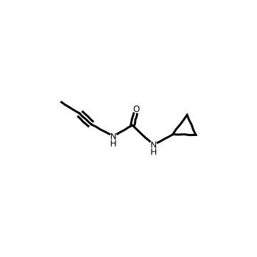 CC#CNC(=O)NC1CC1